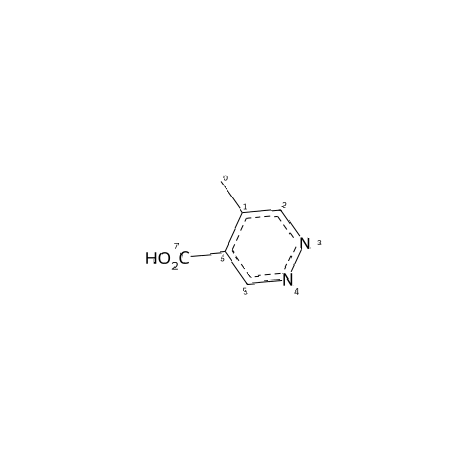 Cc1cnncc1C(=O)O